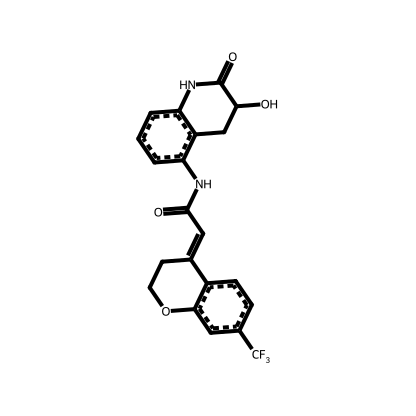 O=C(C=C1CCOc2cc(C(F)(F)F)ccc21)Nc1cccc2c1CC(O)C(=O)N2